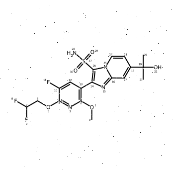 COc1nc(OCC(F)F)c(F)cc1-c1nc2cc(C(C)(C)O)ccn2c1S(N)(=O)=O